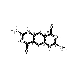 Cc1nc2cc3c(=O)oc(C)nc3cc2c(=O)o1